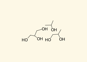 CC(C)O.CC(O)CO.OCC(O)CO